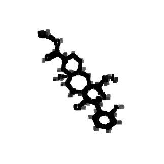 CC(C)(C)OC(=O)N1CCN2Cc3c(N)nc(-c4ccccc4F)c(Cl)c3OC[C@H]2C1